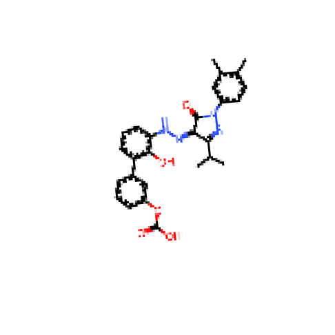 Cc1ccc(N2N=C(C(C)C)C(=NNc3cccc(-c4cccc(OC(=O)O)c4)c3O)C2=O)cc1C